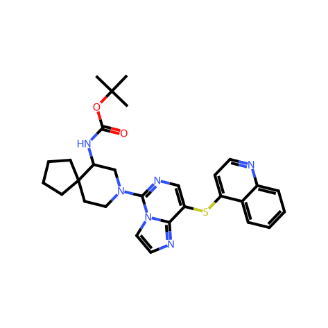 CC(C)(C)OC(=O)NC1CN(c2ncc(Sc3ccnc4ccccc34)c3nccn23)CCC12CCCC2